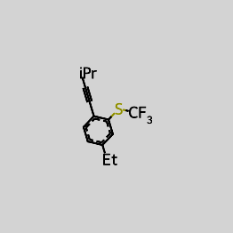 CCc1ccc(C#CC(C)C)c(SC(F)(F)F)c1